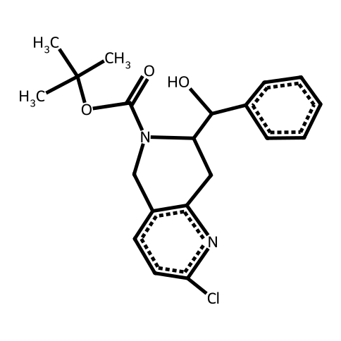 CC(C)(C)OC(=O)N1Cc2ccc(Cl)nc2CC1C(O)c1ccccc1